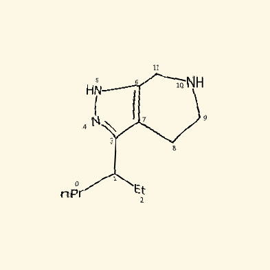 CCCC(CC)c1n[nH]c2c1CCNC2